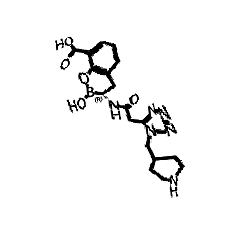 O=C(Cc1nnnn1CC1CCNCC1)N[C@H]1Cc2cccc(C(=O)O)c2OB1O